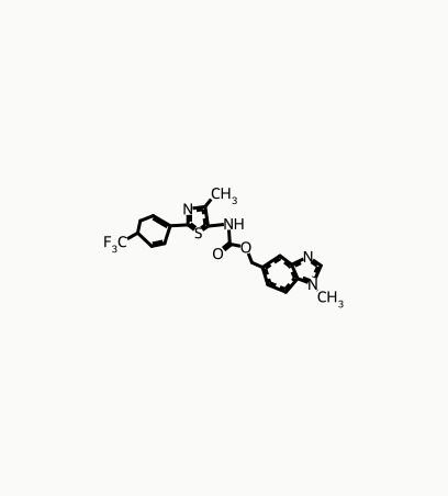 Cc1nc(C2=CCC(C(F)(F)F)C=C2)sc1NC(=O)OCc1ccc2c(c1)ncn2C